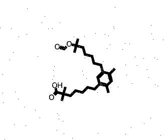 Cc1cc(C)c(CCCCCC(C)(C)C(=O)O)cc1CCCCCC(C)(C)OC=O